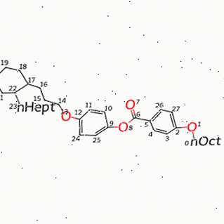 CCCCCCCCOc1ccc(C(=O)Oc2ccc(OCCCC3CCCCC3CCCCCCC)cc2)cc1